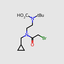 CC(C)(C)N(CCN(CC1CC1)C(=O)CBr)C(=O)O